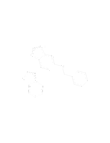 C[C@H](Nc1nc(-c2cnc3ccccn23)c2nc[nH]c2n1)c1ccccc1